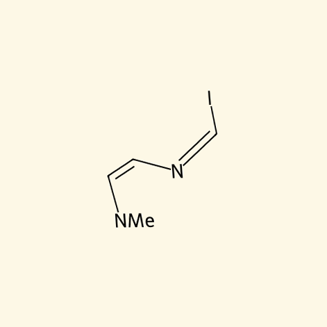 CN/C=C\N=C/I